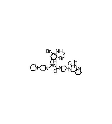 Nc1c(Br)cc(C[C@H](CN2CCC(N3CCCCC3)CC2)NC(=O)N2CCC(N3Cc4cccnc4NC3=O)CC2)cc1Br